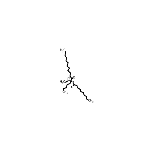 CCCCCCCCCCCC(=O)C(CCCCC)(NCC)OC(=O)CCCCCCCCC